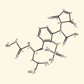 CCCCC(=O)N(c1cccc(C[C@@H](CC(C)C(=O)O)NC(=O)OC(C)(C)C)c1OP(=O)(O)O)N1C(=O)C=CC1=O